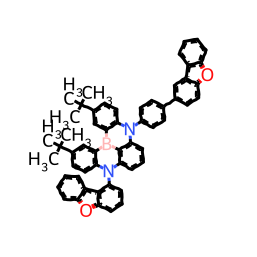 CC(C)(C)c1ccc2c(c1)B1c3cc(C(C)(C)C)ccc3N(c3cccc4oc5ccccc5c34)c3cccc(c31)N2c1ccc(-c2ccc3oc4ccccc4c3c2)cc1